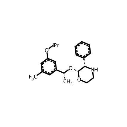 CC(C)Oc1cc([C@@H](C)O[C@H]2OCCN[C@H]2c2ccccc2)cc(C(F)(F)F)c1